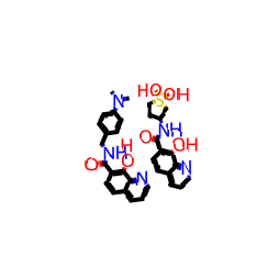 CN(C)c1ccc(CNC(=O)c2ccc3cccnc3c2O)cc1.O=C(NC1CCS(O)(O)C1)c1ccc2cccnc2c1O